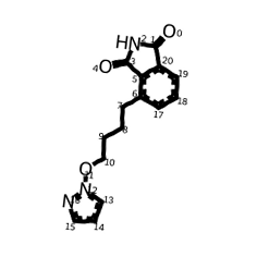 O=C1NC(=O)c2c(CCCCOn3cccn3)cccc21